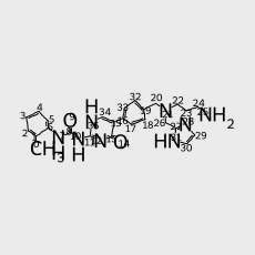 Cc1ccccc1NC(=O)Nc1nc(=O)c(-c2ccc(CN(CCCN)Cc3ncc[nH]3)cc2)c[nH]1